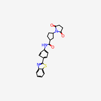 O=C(Nc1ccc(-c2nc3ccccc3s2)cc1)C1CCC(N2C(=O)CCC2=O)C1